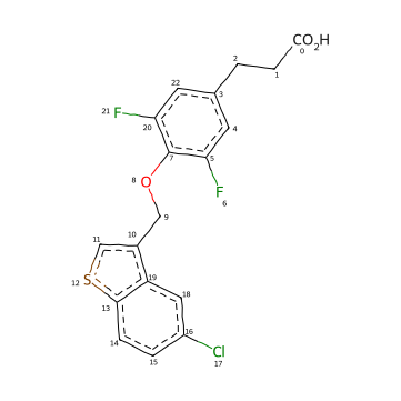 O=C(O)CCc1cc(F)c(OCc2csc3ccc(Cl)cc23)c(F)c1